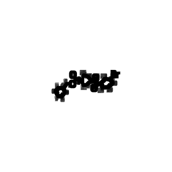 O=C(OCc1ccccc1)N1CCC(S(=O)(=O)c2cccc(Br)c2)CC1